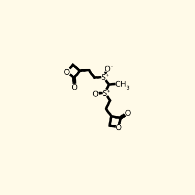 CC([S+]([O-])CCC1COC1=O)[S+]([O-])CCC1COC1=O